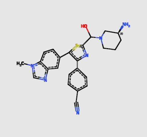 Cn1cnc2cc(-c3sc(C(O)N4CCC[C@H](N)C4)nc3-c3ccc(C#N)cc3)ccc21